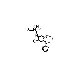 CCN(C)C=Nc1cc(C)c(Nc2ccccn2)cc1Cl